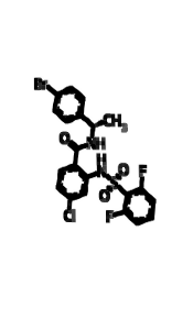 C[C@@H](NC(=O)c1ccc(Cl)cc1NS(=O)(=O)c1c(F)cccc1F)c1ccc(Br)cc1